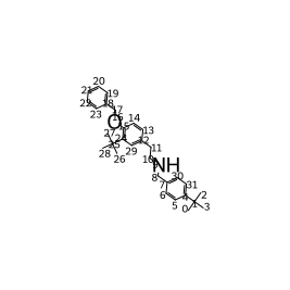 CC(C)(C)c1ccc(CNCCc2ccc(OCc3ccccc3)c(C(C)(C)C)c2)cc1